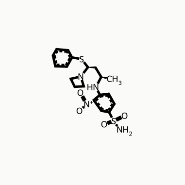 C[C@H](C[C@H](Sc1ccccc1)N1CCC1)Nc1ccc(S(N)(=O)=O)cc1[N+](=O)[O-]